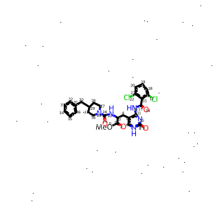 COC(=O)C(Cc1c[nH]c(=O)nc1NC(=O)c1c(Cl)cccc1Cl)NC(=O)N1CCC(Cc2ccccc2)CC1